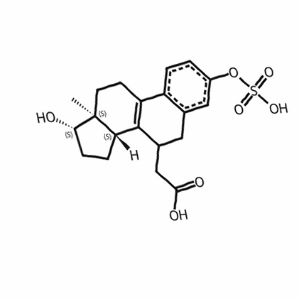 C[C@]12CCC3=C(C(CC(=O)O)Cc4cc(OS(=O)(=O)O)ccc43)[C@@H]1CC[C@@H]2O